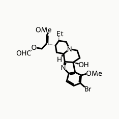 CC[C@@H]1CN2CC[C@@]3(O)C(=Nc4ccc(Br)c(OC)c43)[C@@H]2C[C@@H]1/C(=C\OC)COC=O